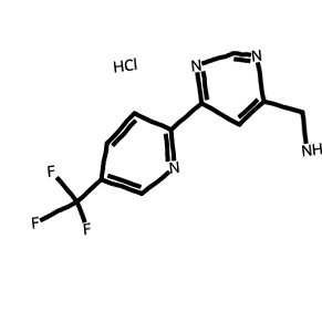 Cl.NCc1cc(-c2ccc(C(F)(F)F)cn2)ncn1